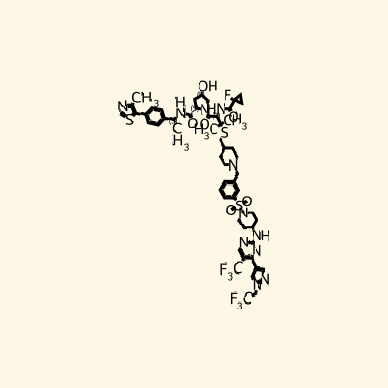 Cc1ncsc1-c1ccc([C@H](C)NC(=O)[C@@H]2C[C@@H](O)CN2C(=O)[C@@H](NC(=O)C2(F)CC2)C(C)(C)SCC2CCN(Cc3cccc(S(=O)(=O)N4CCC(Nc5ncc(C(F)(F)F)c(-c6cnn(CC(F)(F)F)c6)n5)CC4)c3)CC2)cc1